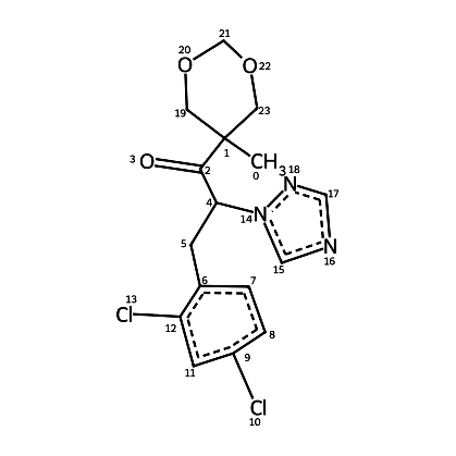 CC1(C(=O)C(Cc2ccc(Cl)cc2Cl)n2cncn2)COCOC1